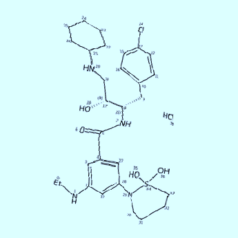 CCNc1cc(C(=O)N[C@@H](Cc2ccc(Cl)cc2)[C@H](O)CNC2CCCCC2)cc(N2CCCCS2(O)O)c1.Cl